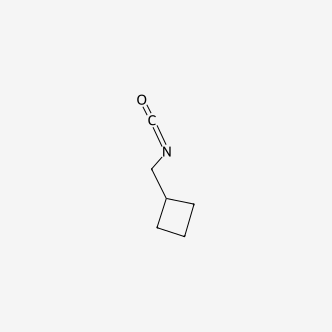 O=C=NCC1CCC1